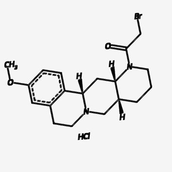 COc1ccc2c(c1)CCN1C[C@H]3CCCN(C(=O)CBr)[C@H]3C[C@@H]21.Cl